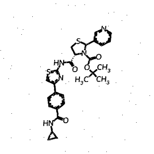 CC(C)(C)OC(=O)N1C(c2cccnc2)SC[C@H]1C(=O)Nc1nc(-c2ccc(C(=O)NC3CC3)cc2)cs1